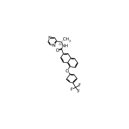 C[C@H](NC(=O)c1ccc2c(Oc3ccc(C(F)(F)F)cc3)cccc2c1)c1cnccn1